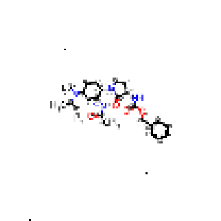 CC(=O)N[C@@H]1CC(N(C)C(C)C)CC[C@@H]1N1CC[C@H](NC(=O)OCc2ccccc2)C1=O